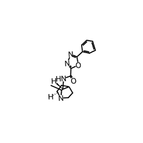 C[C@H]1[C@H](NC(=O)c2nnc(-c3ccccc3)o2)C2CCN1CC2